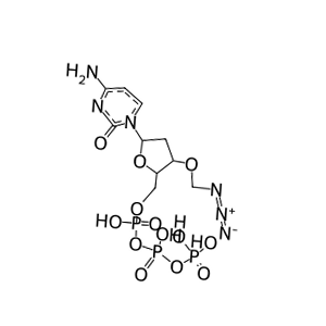 [N-]=[N+]=NCOC1CC(n2ccc(N)nc2=O)OC1COP(=O)(O)OP(=O)(O)OP(=O)(O)O